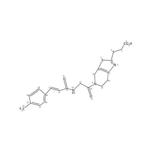 O=C(O)CSc1nc2c(s1)CN(C(=O)CNC(=O)/C=C/c1ccc(C(F)(F)F)cc1)CC2